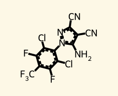 N#Cc1nn(-c2c(Cl)c(F)c(C(F)(F)F)c(F)c2Cl)c(N)c1C#N